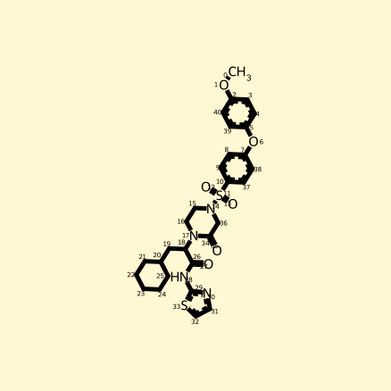 COc1ccc(Oc2ccc(S(=O)(=O)N3CCN(C(CC4CCCCC4)C(=O)Nc4nccs4)C(=O)C3)cc2)cc1